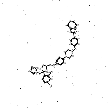 Clc1ccc(C2(Cn3cncn3)OCC(COc3ccc(N4CCN(Cc5ccc(-c6nc7ccccc7o6)cc5)CC4)cc3)O2)c(Cl)c1